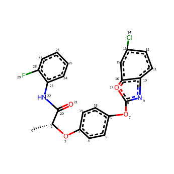 C[C@@H](Oc1ccc(Oc2nc3ccc(Cl)cc3o2)cc1)C(=O)Nc1ccccc1F